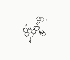 N#CCCc1cc2c(N3CC4CCC(C3)N4)nc(OC[C@@]34CCCN3C[C@H](F)C4)nc2c(F)c1-c1cccc2ccc(F)c(Cl)c12